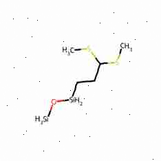 CSC(CC[SiH2]O[SiH3])SC